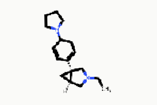 CCN1C[C@H]2C[C@@]2(C2=CCC(N3CCCC3)C=C2)C1